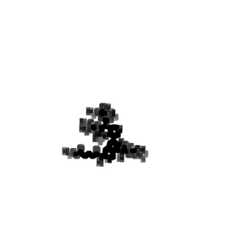 COC(=O)CCCC(=O)Nc1cc2cc(-c3cncc(N(C(=O)OC(C)(C)C)C(=O)OC(C)(C)C)c3C)c(F)c(NC(=O)OC(C)(C)C)c2cn1